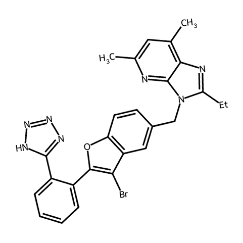 CCc1nc2c(C)cc(C)nc2n1Cc1ccc2oc(-c3ccccc3-c3nnn[nH]3)c(Br)c2c1